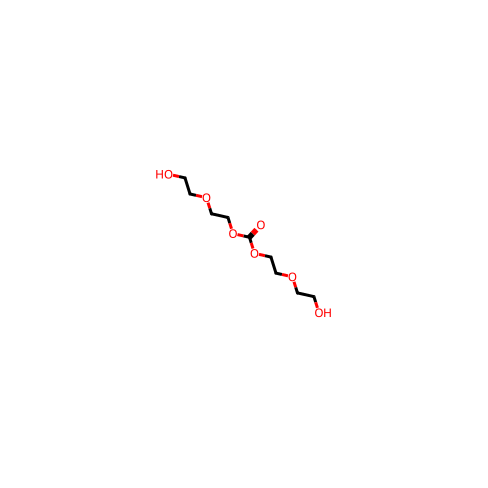 O=C(OCCOCCO)OCCOCCO